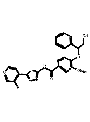 COc1cc(C(=O)Nc2nnc(-c3ccncc3F)s2)ccc1OC(CO)c1ccccc1